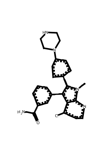 Cn1c(-c2ccc(N3CCNCC3)cc2)c(-c2cccc(C(N)=O)c2)c2c(Cl)ccnc21